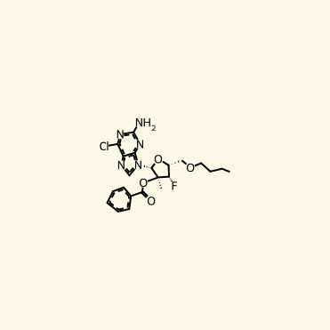 CCCCOC[C@H]1O[C@@H](n2cnc3c(Cl)nc(N)nc32)[C@](C)(OC(=O)c2ccccc2)[C@H]1F